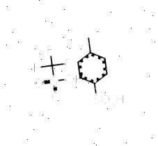 Cc1ccc(S(=O)(=O)O)cc1.O=S(=O)(O)C(F)(F)F